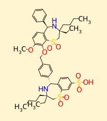 CCCC[C@]1(CC)CS(=O)(=O)c2cc(S(=O)(=O)O)ccc2[C@@H](c2ccc(COc3c(OC)ccc4c3S(=O)(=O)C[C@@](CC)(CCCC)N[C@@H]4c3ccccc3)cc2)N1